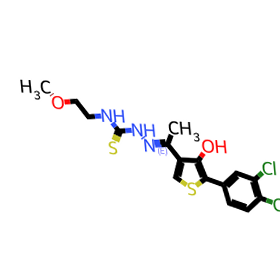 COCCNC(=S)N/N=C(\C)c1csc(-c2ccc(Cl)c(Cl)c2)c1O